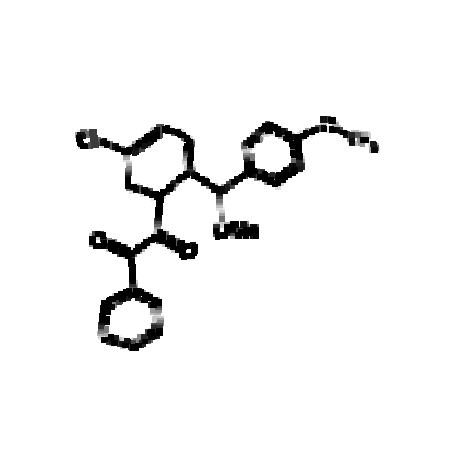 COC(C1=CC=C(Cl)CC1C(=O)C(=O)c1ccccc1)c1ccc(OC(F)(F)F)cc1